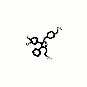 CCCc1nn(CC2CCC(CC)CC2)c(-c2ccc(F)c(C)c2)c1-c1ccccc1